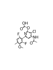 COc1c(C)cc(F)c(-c2cc(NC(C)=O)c(Cl)c(OC(=O)O)n2)c1F